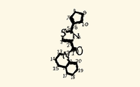 O=C(c1csc(C2=CCCC2)n1)N1CCCC2CCCC=C21